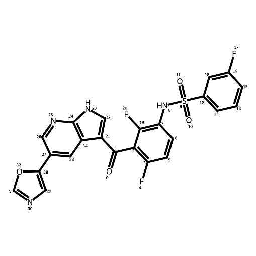 O=C(c1c(F)ccc(NS(=O)(=O)c2cccc(F)c2)c1F)c1c[nH]c2ncc(-c3cnco3)cc12